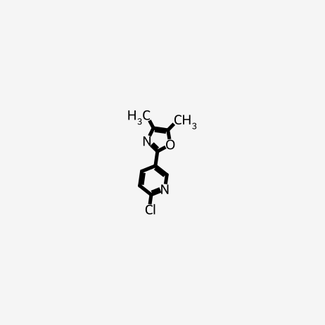 Cc1nc(-c2ccc(Cl)nc2)oc1C